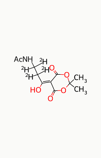 [2H]C([2H])(NC(C)=O)C([2H])([2H])C(O)=C1C(=O)OC(C)(C)OC1=O